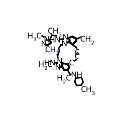 C=Cc1cc2c3c(c1)nc(NCC(C)c1cc(C)nn1CC)n3C/C=C/Cn1c(NC)nc3cc(C(=C)NC4CCC(C)CC4)cc(c31)CCCCC2